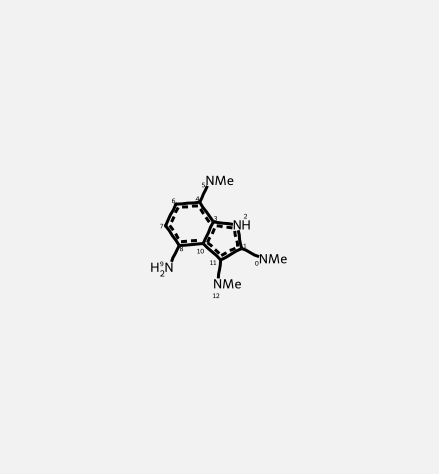 CNc1[nH]c2c(NC)ccc(N)c2c1NC